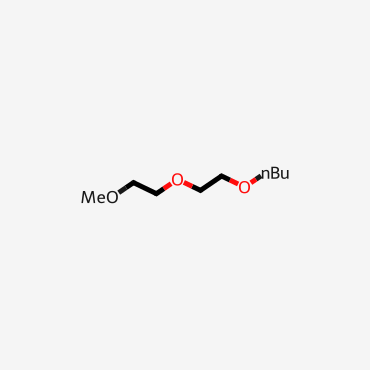 CCCCOCCOCCOC